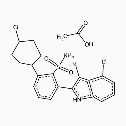 CC(=O)O.NS(=O)(=O)c1c(-c2[nH]c3cccc(Cl)c3[c]2[K])cccc1C1CCC(Cl)CC1